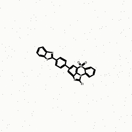 CCc1nc2cc(-c3ccc(-c4nc5ccccc5s4)cc3)cc3c2n1-c1ccccc1S3(=O)=O